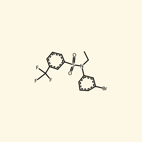 CCN(c1cccc(Br)c1)S(=O)(=O)c1cccc(C(F)(F)F)c1